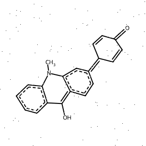 CN1c2ccccc2C(O)=c2ccc(=C3C=CC(=O)C=C3)cc21